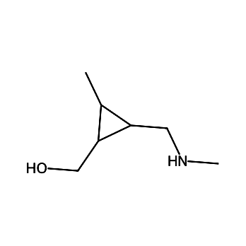 CNCC1C(C)C1CO